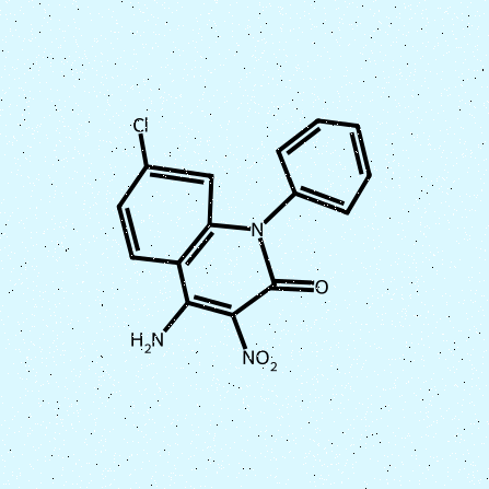 Nc1c([N+](=O)[O-])c(=O)n(-c2ccccc2)c2cc(Cl)ccc12